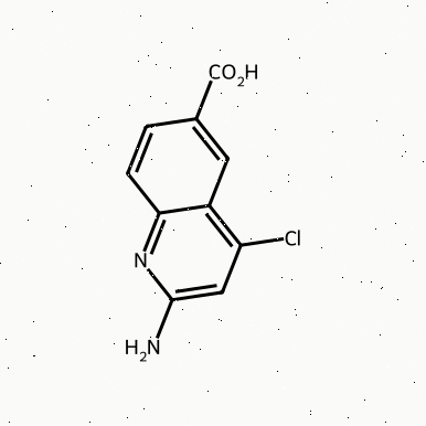 Nc1cc(Cl)c2cc(C(=O)O)ccc2n1